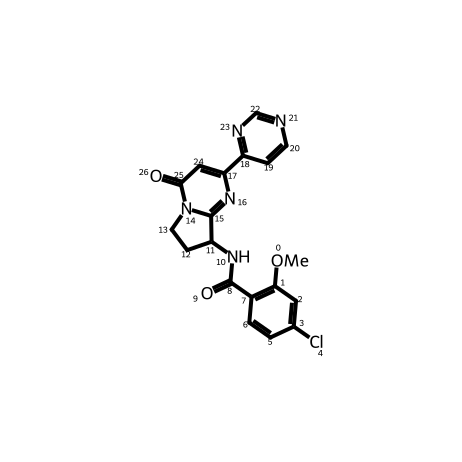 COc1cc(Cl)ccc1C(=O)NC1CCn2c1nc(-c1ccncn1)cc2=O